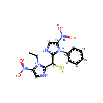 CCn1c([N+](=O)[O-])cnc1C(S)c1ncc([N+](=O)[O-])n1-c1ccccc1